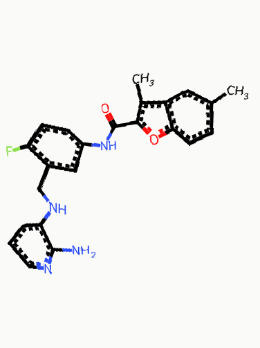 Cc1ccc2oc(C(=O)Nc3ccc(F)c(CNc4cccnc4N)c3)c(C)c2c1